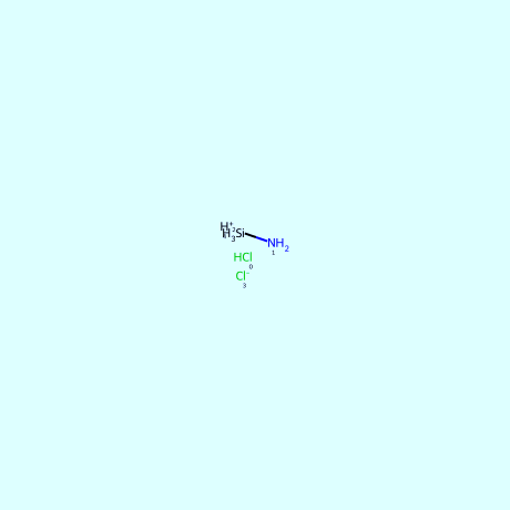 Cl.N[SiH3].[Cl-].[H+]